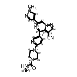 CCCNC(=O)N1CCN(c2ccc(-c3nc(-c4cnn(C)c4)cn4ncc(C#N)c34)cn2)CC1